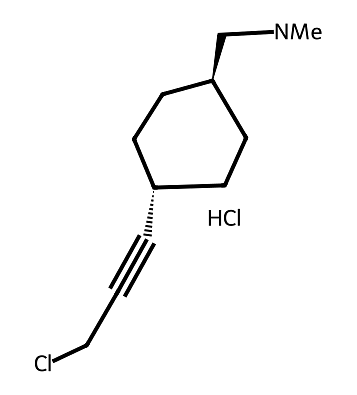 CNC[C@H]1CC[C@H](C#CCCl)CC1.Cl